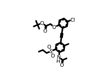 CCCS(=O)(=O)c1cc(C#Cc2cc(Cl)ccc2OCC(=O)OC(C)(C)C)c(C)cc1NC(C)=O